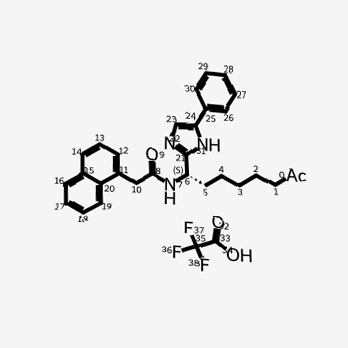 CC(=O)CCCCC[C@H](NC(=O)Cc1cccc2ccccc12)c1ncc(-c2ccccc2)[nH]1.O=C(O)C(F)(F)F